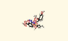 CCc1ccc(OC)c(S(=O)(=O)N(OCc2ccc(OC)cc2OC)c2noc3c(C(=O)OC)cccc23)c1